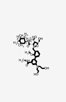 CNC(=O)c1cc(-c2cccc(CN3O[C@@H](CO)[C@@H]([C@H](C)O)[C@H]3C(=O)N[C@H]3C[C@@H](C)C(C)(C)[C@@H](C)[C@@H]3C)c2OC)cc(N(CCO)CCO)c1